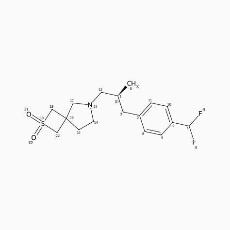 C[C@@H](Cc1ccc(C(F)F)cc1)CN1CCC2(C1)CS(=O)(=O)C2